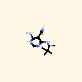 C[C@H](Nc1ncnc(N)c1C#N)C(C)(C)C